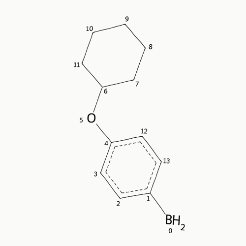 Bc1ccc(OC2CCCCC2)cc1